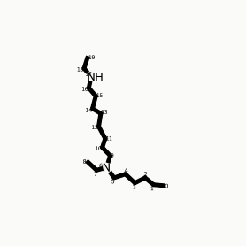 CCCCCCN(CC)CCCCCCCCNCC